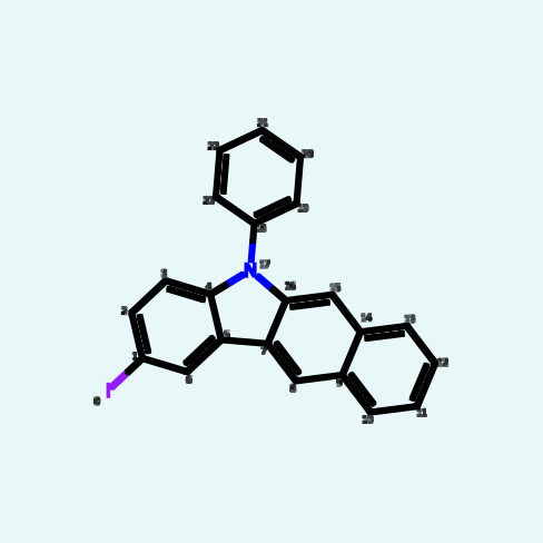 Ic1ccc2c(c1)c1cc3ccccc3cc1n2-c1ccccc1